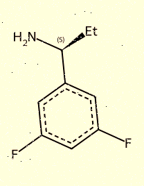 CC[C@H](N)c1cc(F)cc(F)c1